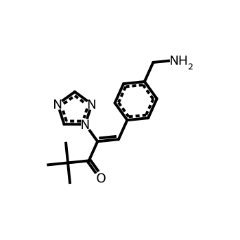 CC(C)(C)C(=O)C(=Cc1ccc(CN)cc1)n1cncn1